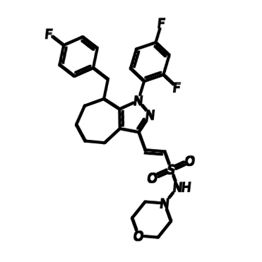 O=S(=O)(/C=C/c1nn(-c2ccc(F)cc2F)c2c1CCCCC2Cc1ccc(F)cc1)NN1CCOCC1